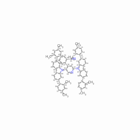 Cc1ccc(-c2ccc3c4ccc(-c5ccc(C)cc5C)cc4n(-c4cc(-c5ccccc5C#N)c(-n5c6cc(-c7ccc(C)cc7C)ccc6c6ccc(-c7ccc(C)cc7C)cc65)cn4)c3c2)c(C)c1